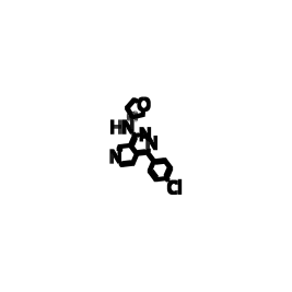 Clc1ccc(-c2nnc(N[C@@H]3CCOC3)c3cnccc23)cc1